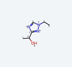 CCn1cnc(C(C)O)n1